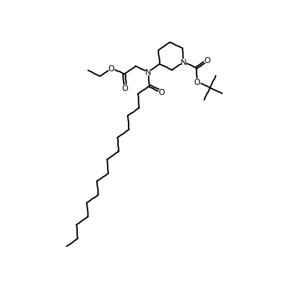 CCCCCCCCCCCCCCCC(=O)N(CC(=O)OCC)C1CCCN(C(=O)OC(C)(C)C)C1